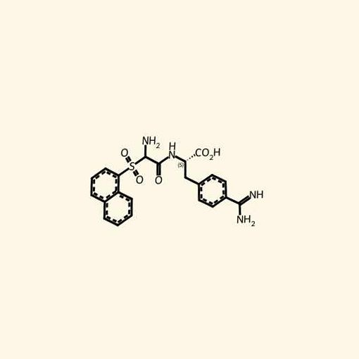 N=C(N)c1ccc(C[C@H](NC(=O)C(N)S(=O)(=O)c2cccc3ccccc23)C(=O)O)cc1